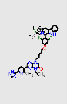 CCN1C(=O)CN(CCCCCOc2cc(F)c([C@@H]3c4[nH]c5ccccc5c4C[C@@H](C)N3CC(C)(C)F)c(F)c2)c2ncc(-c3ccc(-c4nc[nH]n4)nc3C)nc21